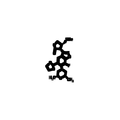 CSC[C@H]1COC(=O)N1c1noc2c(F)c(N3C[C@@H](C)O[C@H](C)C3)c(C3OCCO3)cc12